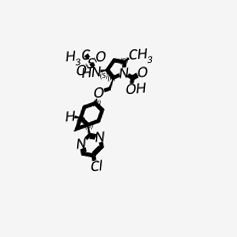 C[C@@H]1C[C@H](NS(C)(=O)=O)[C@H](CO[C@@H]2CC[C@]3(c4ncc(Cl)cn4)C[C@@H]3C2)N1C(=O)O